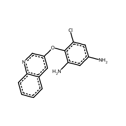 Nc1cc(N)c(Oc2cnc3ccccc3c2)c(Cl)c1